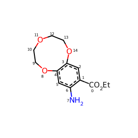 CCOC(=O)c1cc2c(cc1N)OCCOCCO2